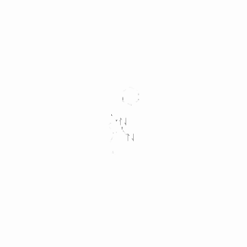 Cc1ccccc1Cn1ncc2c1=NCC[C@H](C)C=2